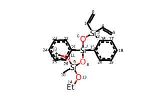 C=C[Si](C)(C=C)O[Si](O[Si](C)(OCC)OCC)(c1ccccc1)c1ccccc1